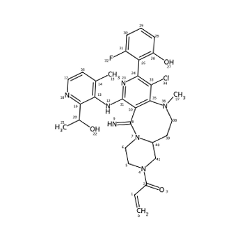 C=CC(=O)N1CCN2C(=N)c3c(Nc4c(C)ccnc4C(C)O)nc(-c4c(O)cccc4F)c(Cl)c3N(C)CCC2C1